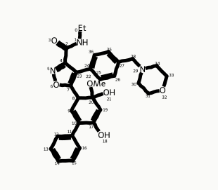 CCNC(=O)c1noc(C2C=C(c3ccccc3)C(O)=CC2(O)OC)c1-c1ccc(CN2CCOCC2)cc1